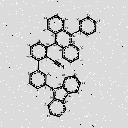 N#Cc1c(-c2cccc(-n3c4ccccc4c4ccccc43)c2)cccc1-c1c2ccccc2c(-c2ccccc2)c2ccccc12